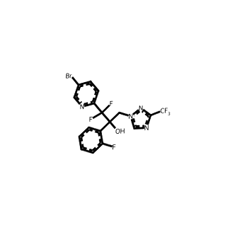 OC(Cn1cnc(C(F)(F)F)n1)(c1ccccc1F)C(F)(F)c1ccc(Br)cn1